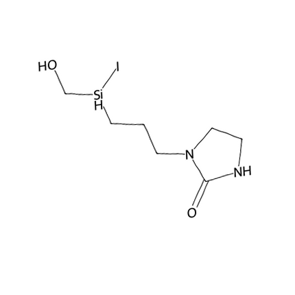 O=C1NCCN1CCC[SiH](I)CO